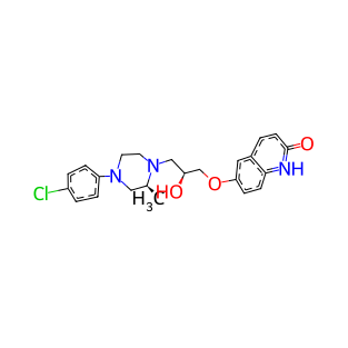 C[C@H]1CN(c2ccc(Cl)cc2)CCN1C[C@H](O)COc1ccc2[nH]c(=O)ccc2c1